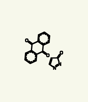 O=C1C=CN=N1.O=C1c2ccccc2C(=O)c2ccccc21